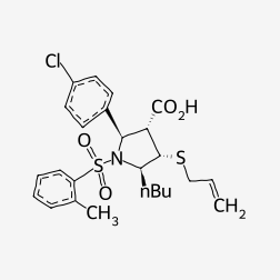 C=CCS[C@H]1[C@@H](C(=O)O)[C@H](c2ccc(Cl)cc2)N(S(=O)(=O)c2ccccc2C)[C@@H]1CCCC